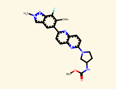 COc1c(-c2ccc3nc(N4CCC(NC(=O)OC(C)(C)C)C4)ccc3n2)cc2cn(C)nc2c1F